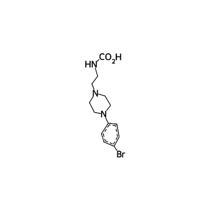 O=C(O)NCCN1CCN(c2ccc(Br)cc2)CC1